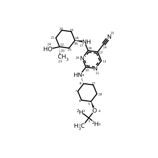 [2H]C([2H])(C)O[C@H]1CC[C@H](Nc2ncc(C#N)c(N[C@@H]3CCC[C@](C)(O)C3)n2)CC1